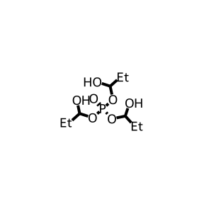 CCC(O)OP(=O)(OC(O)CC)OC(O)CC